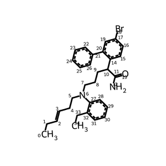 CCC=CCCN(CCCC(C(N)=O)c1ccc(Br)cc1-c1ccccc1)c1ccccc1CC